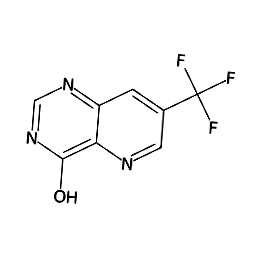 Oc1ncnc2cc(C(F)(F)F)cnc12